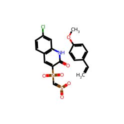 C=Cc1ccc(OC)cc1.O=c1[nH]c2cc(Cl)ccc2cc1S(=O)(=O)C=S(=O)=O